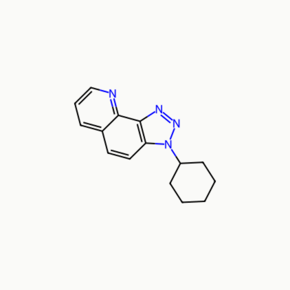 c1cnc2c(c1)ccc1c2nnn1C1CCCCC1